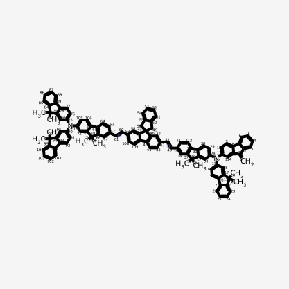 C=C1c2ccccc2-c2ccc(N(c3ccc4c(c3)C(C)(C)c3ccccc3-4)c3ccc4c(c3)C(C)(C)c3cc(/C=C/c5ccc6c(c5)C5(Cc7ccccc7C5)c5cc(/C=C/c7ccc8c(c7)C(C)(C)c7cc(N(c9ccc%10c(c9)C(C)(C)c9ccccc9-%10)c9ccc%10c(c9)C(C)(C)c9ccccc9-%10)ccc7-8)ccc5-6)ccc3-4)cc21